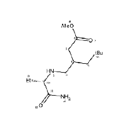 CC[C@H](NCC(CC(=O)OC)CC(C)(C)C)C(N)=O